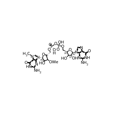 COC1[C@@H](COP(=O)(O)OP(=O)(O)OC[C@H]2O[C@@H](n3cnc4c(=O)[nH]c(N)nc43)[C@@H](O)C2O)O[C@@H](n2c[n+](C)c3c(=O)[nH]c(N)nc32)[C@H]1O